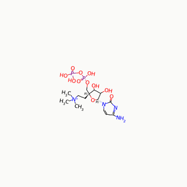 C[N+](C)(C)CC[C@]1(COP(=O)(O)OP(=O)(O)O)O[C@@H](n2ccc(N)nc2=O)C(O)C1O